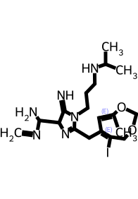 C=NC(N)C1N=C(CC2=C(\I)COCO\C(C)=C\2)N(CCCNC(C)C)C1=N